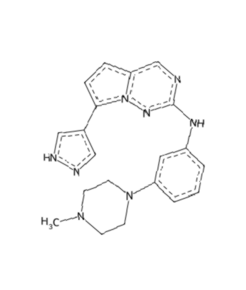 CN1CCN(c2cccc(Nc3ncc4ccc(-c5cn[nH]c5)n4n3)c2)CC1